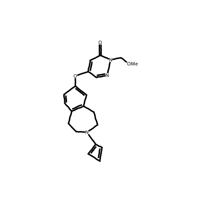 COCn1ncc(Oc2ccc3c(c2)CCN(C2=CC=C2)CC3)cc1=O